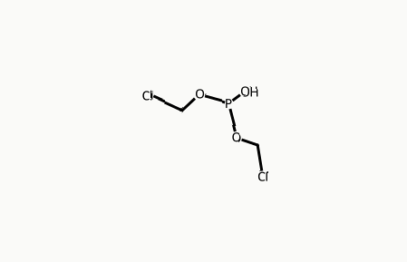 OP(OCCl)OCCl